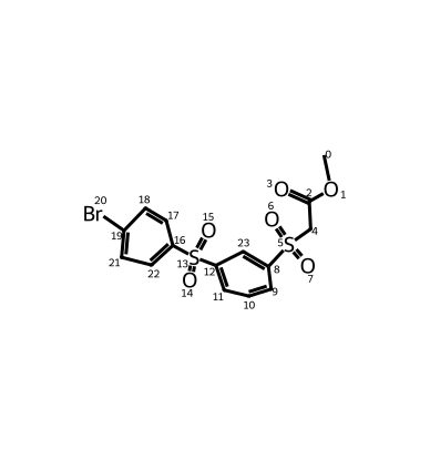 COC(=O)CS(=O)(=O)c1cccc(S(=O)(=O)c2ccc(Br)cc2)c1